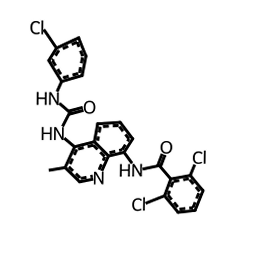 Cc1cnc2c(NC(=O)c3c(Cl)cccc3Cl)cccc2c1NC(=O)Nc1cccc(Cl)c1